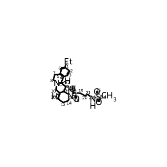 CCc1ccc2c(c1)CCN1C[C@@H]3CCCN(S(=O)(=O)CCCNS(C)(=O)=O)[C@@H]3C[C@@H]21